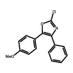 COc1ccc(-c2oc(Cl)nc2-c2ccccc2)cc1